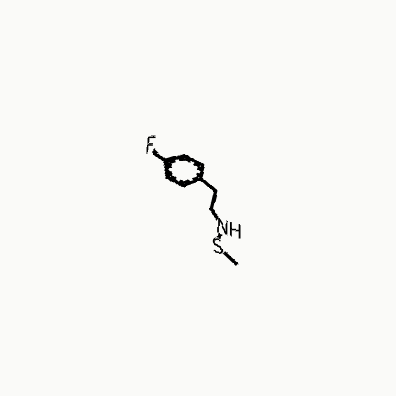 CSNCCc1ccc(F)cc1